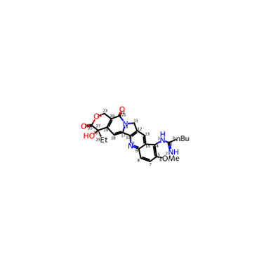 CCCCC(=N)Nc1c(OC)ccc2nc3c(cc12)Cn1c-3cc2c(c1=O)COC(=O)[C@]2(O)CC